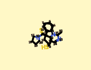 CC1=C2N(c3ccccc3C2(CCS)C(=S)N2CCCC2)C(C)N=C1